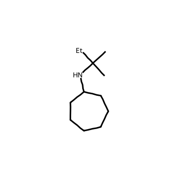 CCC(C)(C)NC1CCCCCC1